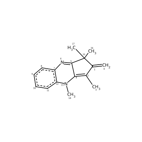 C=C1C(C)=C2C(=Nc3ccccc3N2C)C1(C)C